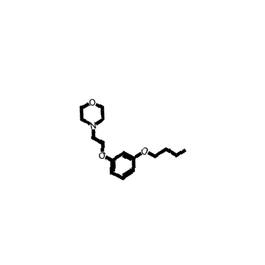 CCCCOc1cccc(OCCN2CCOCC2)c1